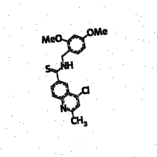 COc1ccc(CNC(=S)c2ccc3nc(C)cc(Cl)c3c2)c(OC)c1